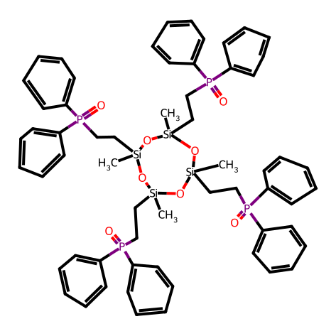 C[Si]1(CCP(=O)(c2ccccc2)c2ccccc2)O[Si](C)(CCP(=O)(c2ccccc2)c2ccccc2)O[Si](C)(CCP(=O)(c2ccccc2)c2ccccc2)O[Si](C)(CCP(=O)(c2ccccc2)c2ccccc2)O1